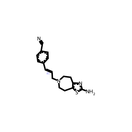 N#Cc1ccc(/C=C/CN2CCc3nc(N)sc3CC2)cc1